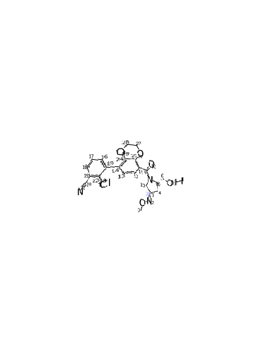 CO/N=C1/C[C@@H](CO)N(C(=O)c2ccc(-c3cccc(C#N)c3Cl)c3c2OCCO3)C1